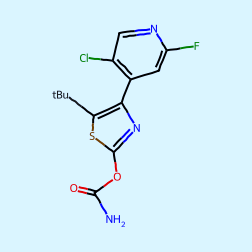 CC(C)(C)c1sc(OC(N)=O)nc1-c1cc(F)ncc1Cl